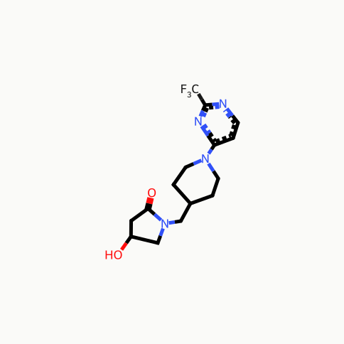 O=C1CC(O)CN1CC1CCN(c2ccnc(C(F)(F)F)n2)CC1